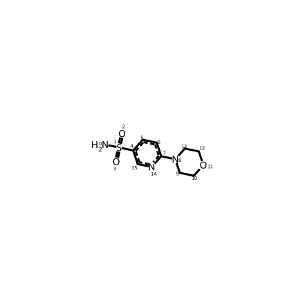 NS(=O)(=O)c1ccc(N2CCOCC2)nc1